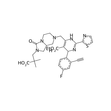 C#Cc1cc(F)ccc1C1N=C(c2nccs2)NC(CN2CCN3C(=O)N(CC(C)(C)C(=O)O)C[C@@H]3C2)=C1C(=O)OCC